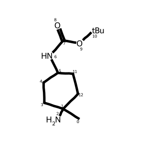 CC1(N)CCC(NC(=O)OC(C)(C)C)CC1